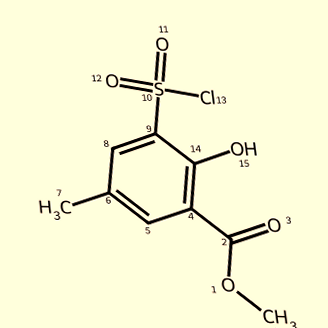 COC(=O)c1cc(C)cc(S(=O)(=O)Cl)c1O